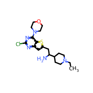 CCN1CCC(C(N)Cc2cc3nc(Cl)nc(N4CCOCC4)c3s2)CC1